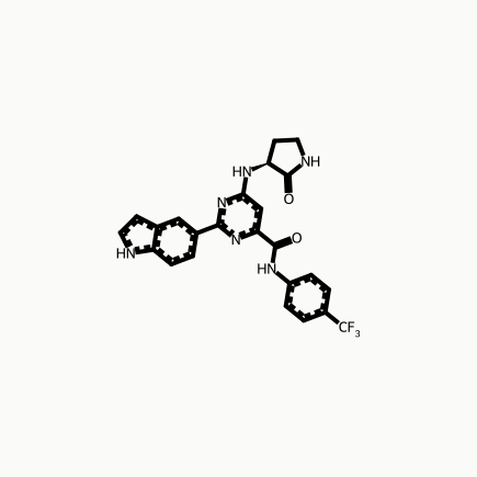 O=C(Nc1ccc(C(F)(F)F)cc1)c1cc(N[C@H]2CCNC2=O)nc(-c2ccc3[nH]ccc3c2)n1